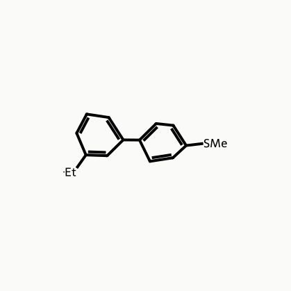 C[CH]c1cccc(-c2ccc(SC)cc2)c1